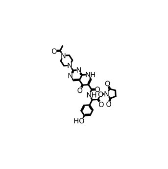 CC(=O)N1CCN(c2ncc3c(=O)c(C(=O)NC(C(=O)ON4C(=O)CCC4=O)c4ccc(O)cc4)c[nH]c3n2)CC1